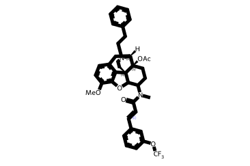 COc1ccc2c3c1OC1C(N(C)C(=O)/C=C/c4cccc(OC(F)(F)F)c4)CC[C@@]4(OC(C)=O)[C@@H](C2)N(CCc2ccccc2)CC[C@]314